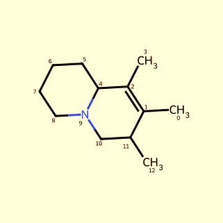 CC1=C(C)C2CCCCN2CC1C